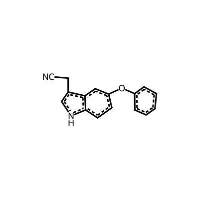 N#CCc1c[nH]c2ccc(Oc3ccccc3)cc12